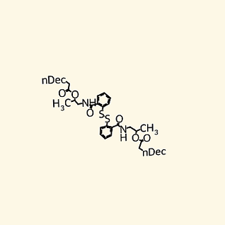 CCCCCCCCCCCC(=O)OC(C)CNC(=O)c1ccccc1SSc1ccccc1C(=O)NCC(C)OC(=O)CCCCCCCCCCC